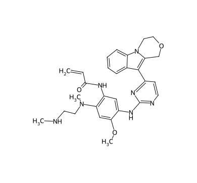 C=CC(=O)Nc1cc(Nc2nccc(-c3c4n(c5ccccc35)CCOC4)n2)c(OC)cc1N(C)CCNC